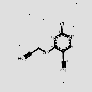 C#CCOc1nc(Cl)ncc1C#N